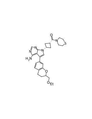 CCOCC1CCc2ccc(-c3cn([C@H]4C[C@@H](C(=O)N5CCSCC5)C4)c4ncnc(N)c34)cc2O1